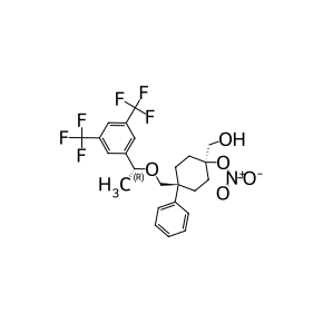 C[C@@H](OC[C@]1(c2ccccc2)CC[C@](CO)(O[N+](=O)[O-])CC1)c1cc(C(F)(F)F)cc(C(F)(F)F)c1